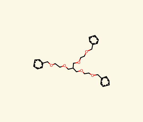 c1ccc(COCCOCC(COCCOCc2ccccc2)COCCOCc2ccccc2)cc1